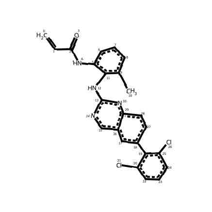 C=CC(=O)Nc1cccc(C)c1Nc1ncc2cc(-c3c(Cl)cccc3Cl)ccc2n1